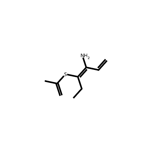 C=C/C(N)=C(\CC)SC(=C)C